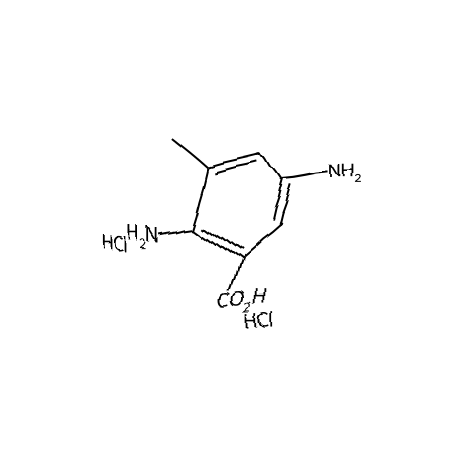 Cc1cc(N)cc(C(=O)O)c1N.Cl.Cl